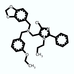 CCCn1c(-c2ccccc2)nc(Cl)c1CN(Cc1cccc(OCC)c1)Cc1ccc2c(c1)OCO2